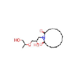 CC(CO)OCC(O)CN1C(=O)CCCCCCCCCCC1=O